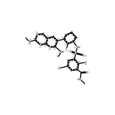 CNC(=O)c1cc(Cl)cc(S(=O)(=O)Nc2cccc(-c3cc4cnc(NC)nc4nc3NC)c2F)c1Cl